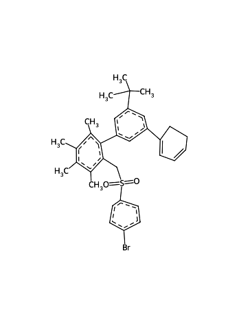 Cc1c(C)c(C)c(-c2cc(C3=CC=CCC3)cc(C(C)(C)C)c2)c(CS(=O)(=O)c2ccc(Br)cc2)c1C